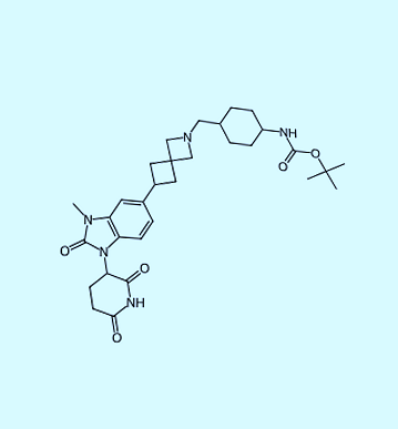 Cn1c(=O)n(C2CCC(=O)NC2=O)c2ccc(C3CC4(C3)CN(CC3CCC(NC(=O)OC(C)(C)C)CC3)C4)cc21